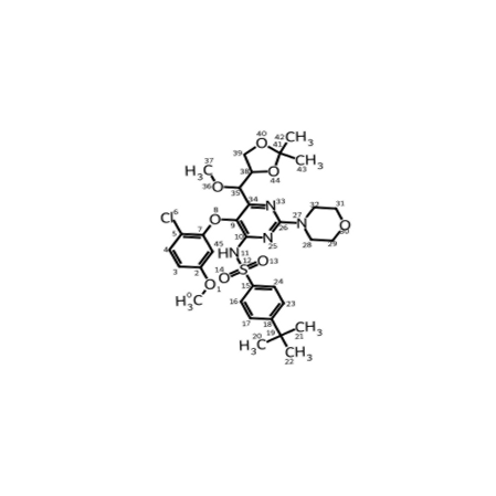 COc1ccc(Cl)c(Oc2c(NS(=O)(=O)c3ccc(C(C)(C)C)cc3)nc(N3CCOCC3)nc2C(OC)C2COC(C)(C)O2)c1